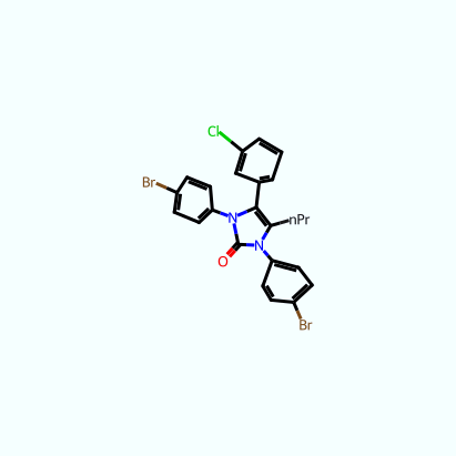 CCCc1c(-c2cccc(Cl)c2)n(-c2ccc(Br)cc2)c(=O)n1-c1ccc(Br)cc1